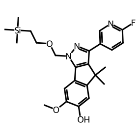 COc1cc2c(cc1O)C(C)(C)c1c(-c3ccc(F)nc3)nn(COCC[Si](C)(C)C)c1-2